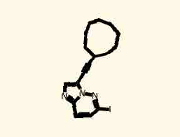 Ic1ccc2ncc(C#CC3CCCCCCCC3)n2n1